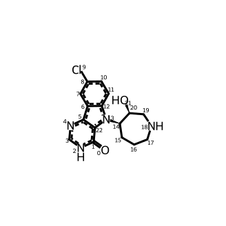 O=c1[nH]cnc2c3cc(Cl)ccc3n([C@@H]3CCCNC[C@@H]3O)c12